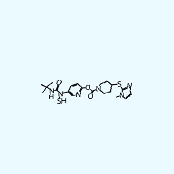 Cn1ccnc1SC1CCN(C(=O)Oc2ccc(N(S)C(=O)NC(C)(C)C)cn2)CC1